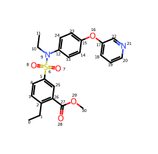 CCc1ccc(S(=O)(=O)N(CC)c2ccc(Oc3cccnc3)cc2)cc1C(=O)OC